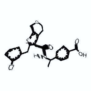 CC(NC(=O)c1c(Cc2cccc(Cl)c2)sc2c1CCOC2)c1ccc(C(=O)O)cc1